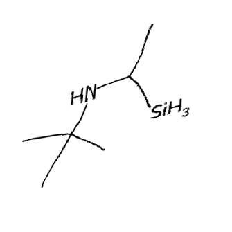 CC([SiH3])NC(C)(C)C